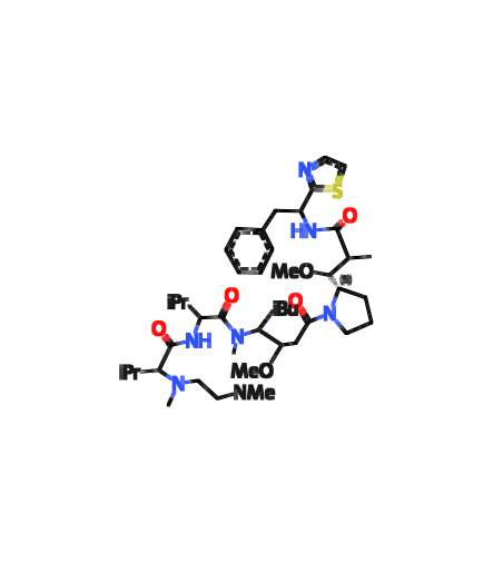 CCC(C)C(C(CC(=O)N1CCC[C@H]1C(OC)C(C)C(=O)NC(Cc1ccccc1)c1nccs1)OC)N(C)C(=O)C(NC(=O)C(C(C)C)N(C)CCNC)C(C)C